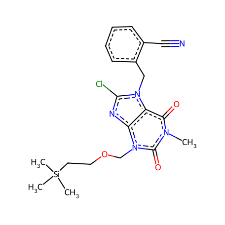 Cn1c(=O)c2c(nc(Cl)n2Cc2ccccc2C#N)n(COCC[Si](C)(C)C)c1=O